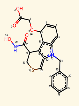 O=C(O)COC1C=CC=c2c1c1c(n2Cc2ccccc2)=CSCC1C(=O)NO